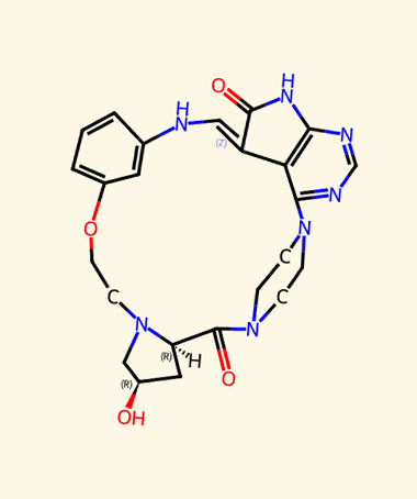 O=C1Nc2ncnc3c2/C1=C/Nc1cccc(c1)OCCN1C[C@H](O)C[C@@H]1C(=O)N1CCN3CC1